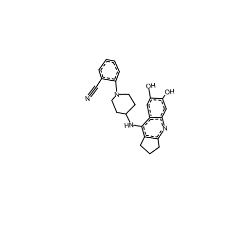 N#Cc1ccccc1N1CCC(Nc2c3c(nc4cc(O)c(O)cc24)CCC3)CC1